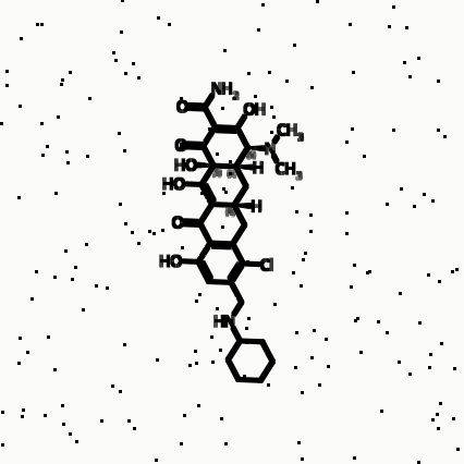 CN(C)[C@@H]1C(O)=C(C(N)=O)C(=O)[C@@]2(O)C(O)=C3C(=O)c4c(O)cc(CNC5CCCCC5)c(Cl)c4C[C@H]3C[C@@H]12